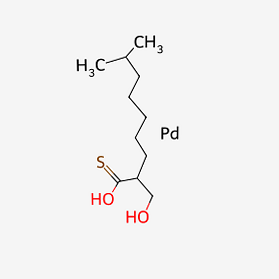 CC(C)CCCCCC(CO)C(O)=S.[Pd]